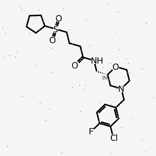 O=C(CCCS(=O)(=O)C1CCCC1)NC[C@H]1CN(Cc2ccc(F)c(Cl)c2)CCO1